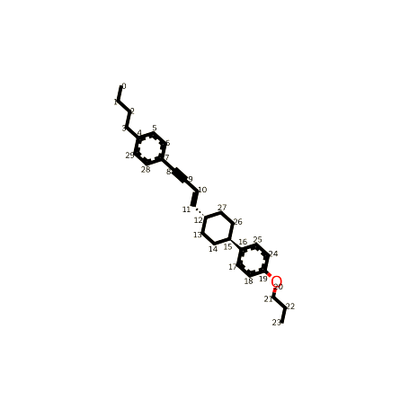 CCCCc1ccc(C#CC=C[C@H]2CC[C@H](c3ccc(OCCC)cc3)CC2)cc1